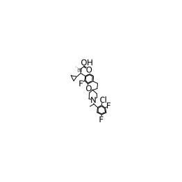 CC(c1cc(F)cc(F)c1Cl)N1CCC2(CCc3ccc(C(C4CC4)[C@H](C)C(=O)O)c(F)c3O2)CC1